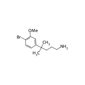 COc1cc(C(C)(C)CCCN)ccc1Br